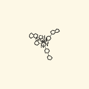 C[Si]1(C)c2ccc3ccccc3c2-c2cccc(-c3nc(-c4ccc(-c5ccccc5)cc4)nc(-c4ccc(-c5ccc6ccccc6c5)cc4)n3)c21